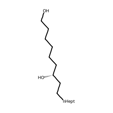 CCCCCCCCC[C@H](O)CCCCCCO